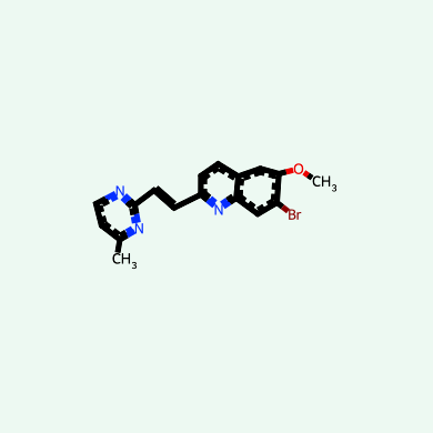 COc1cc2ccc(C=Cc3nccc(C)n3)nc2cc1Br